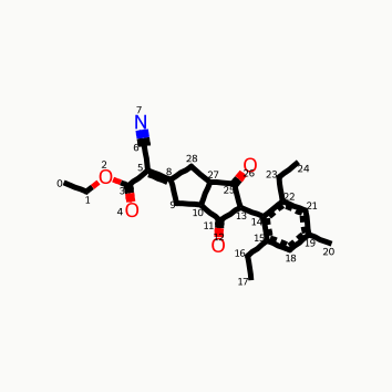 CCOC(=O)C(C#N)=C1CC2C(=O)C(c3c(CC)cc(C)cc3CC)C(=O)C2C1